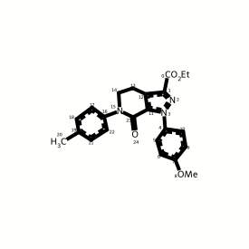 CCOC(=O)c1nn(-c2ccc(OC)cc2)c2c1CCN(c1ccc(C)cc1)C2=O